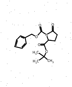 CC(C)(C)OC(=O)C1CCC(=O)N1C(=O)OCc1ccccc1